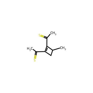 CC(=S)C1=C(C(C)=S)C(C)C1